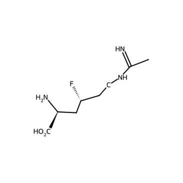 CC(=N)NCC[C@@H](F)C[C@H](N)C(=O)O